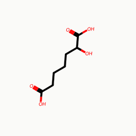 O=C(O)CCCCC(O)C(=O)O